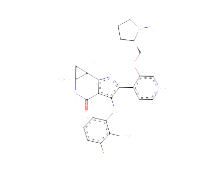 COc1c(Cl)cccc1Nc1c(-c2ccncc2OC[C@H]2CCCN2C)[nH]c2c1C(=O)N[C@H]1C[C@@H]21